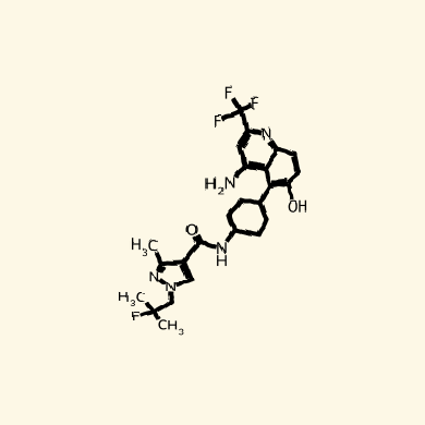 Cc1nn(CC(C)(C)F)cc1C(=O)NC1CCC(c2c(O)ccc3nc(C(F)(F)F)cc(N)c23)CC1